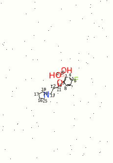 OB(O)c1cc(F)ccc1OCCCN1CCCC1